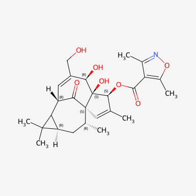 CC1=C[C@]23C(=O)[C@@H](C=C(CO)[C@@H](O)[C@]2(O)[C@H]1OC(=O)c1c(C)noc1C)C1[C@@H](C[C@H]3C)C1(C)C